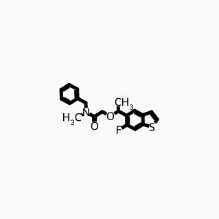 CC(OCC(=O)N(C)Cc1ccccc1)c1cc2ccsc2cc1F